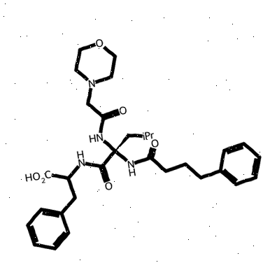 CC(C)C[C@](NC(=O)CCCc1ccccc1)(NC(=O)CN1CCOCC1)C(=O)NC(Cc1ccccc1)C(=O)O